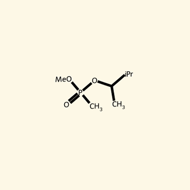 COP(C)(=O)OC(C)C(C)C